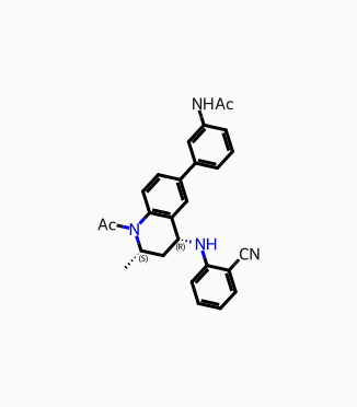 CC(=O)Nc1cccc(-c2ccc3c(c2)[C@H](Nc2ccccc2C#N)C[C@H](C)N3C(C)=O)c1